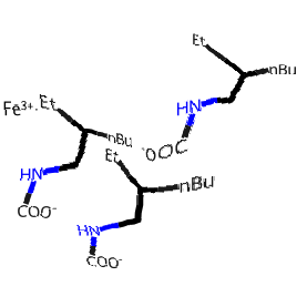 CCCCC(CC)CNC(=O)[O-].CCCCC(CC)CNC(=O)[O-].CCCCC(CC)CNC(=O)[O-].[Fe+3]